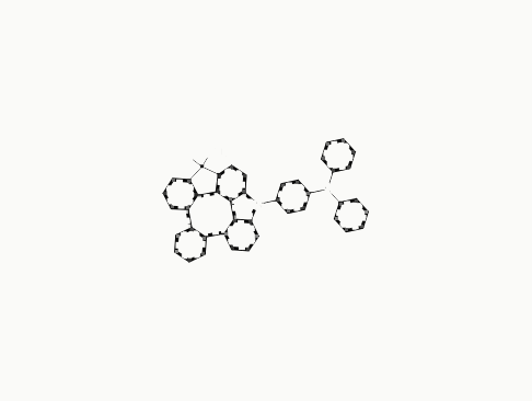 CC1(C)c2cccc3c4ccccc4c4cccc5c4c4c(c1ccc4n5-c1ccc(N(c4ccccc4)c4ccccc4)cc1)c23